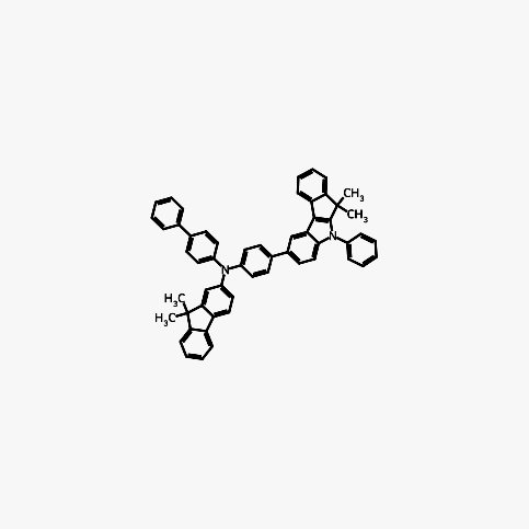 CC1(C)c2ccccc2-c2ccc(N(c3ccc(-c4ccccc4)cc3)c3ccc(-c4ccc5c(c4)c4c(n5-c5ccccc5)C(C)(C)c5ccccc5-4)cc3)cc21